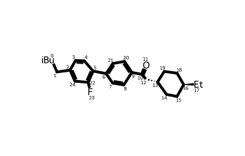 CCC(C)Cc1ccc(-c2ccc(C(=O)C[C@H]3CC[C@H](CC)CC3)cc2)c(F)c1